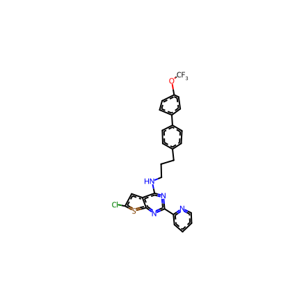 FC(F)(F)Oc1ccc(-c2ccc(CCCNc3nc(-c4ccccn4)nc4sc(Cl)cc34)cc2)cc1